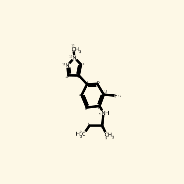 CCC(C)Nc1ccc(-c2cnn(C)c2)cc1F